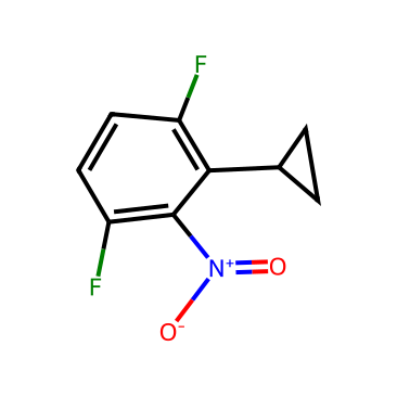 O=[N+]([O-])c1c(F)ccc(F)c1C1CC1